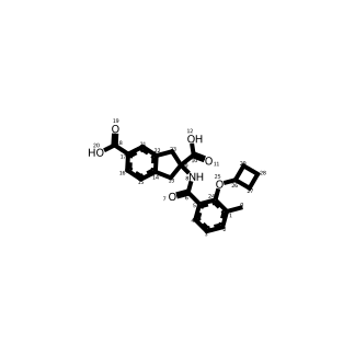 Cc1cccc(C(=O)NC2(C(=O)O)Cc3ccc(C(=O)O)cc3C2)c1OC1CCC1